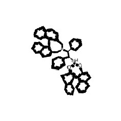 c1ccc([C@H](Np2oc3ccc4ccccc4c3c3c(ccc4ccccc43)o2)[C@H](c2ccccc2)P2Cc3ccc4ccccc4c3-c3c(ccc4ccccc34)C2)cc1